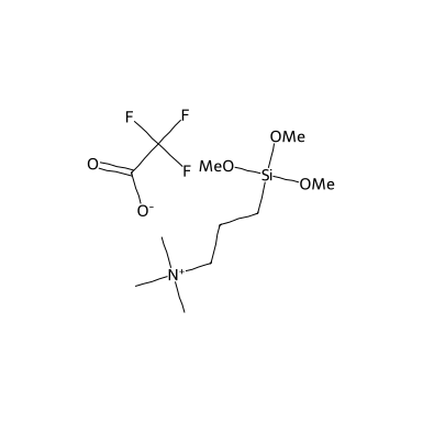 CO[Si](CCC[N+](C)(C)C)(OC)OC.O=C([O-])C(F)(F)F